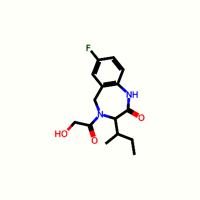 CCC(C)C1C(=O)Nc2ccc(F)cc2CN1C(=O)CO